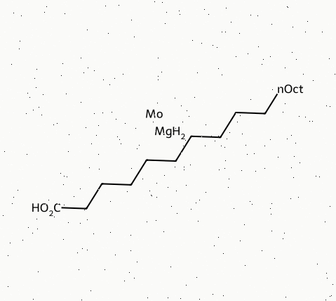 CCCCCCCCCCCCCCCCCC(=O)O.[MgH2].[Mo]